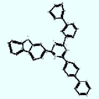 c1ccc(-c2ccc(-c3nc(-c4cccc(-c5ccccc5)c4)nc(-c4ccc5c(c4)sc4ccccc45)n3)cc2)cc1